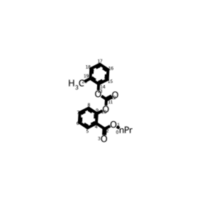 CCCOC(=O)c1ccccc1OC(=O)Oc1ccccc1C